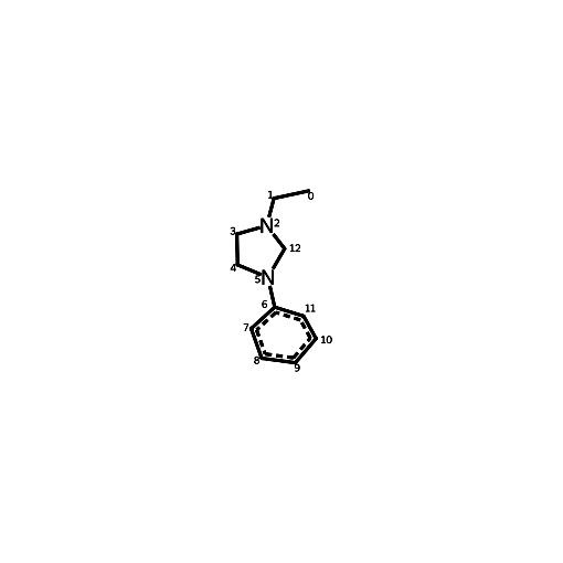 CCN1CCN(c2ccccc2)C1